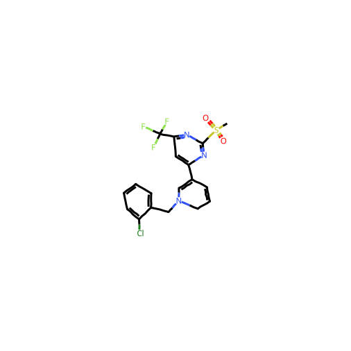 CS(=O)(=O)c1nc(C2=CN(Cc3ccccc3Cl)CC=C2)cc(C(F)(F)F)n1